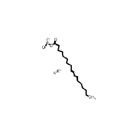 CCCCCCCCC=CCCCCCCCC(=O)OP([O-])[O-].[K+].[K+]